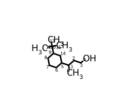 CC(CCO)C1CCCC(C(C)(C)C)C1